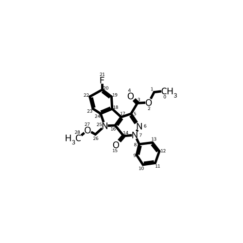 CCOC(=O)c1nn(-c2ccccc2)c(=O)c2c1c1cc(F)ccc1n2COC